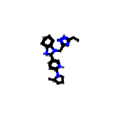 CCc1n[nH]c(CN2c3ccccc3NC2c2ccc(N3CCCC3C)nc2)n1